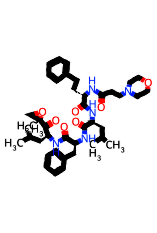 CC(C)C[C@H](NC(=O)[C@H](CCc1ccccc1)NC(=O)CCN1CCOCC1)C(=O)N[C@@H](Cc1ccccc1)C(=O)N[C@@H](CC(C)C)C(=O)[C@@]1(C)CO1